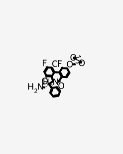 CS(=O)(=O)COC1C=CC(C(N)=O)=C(c2c(Cl)c(F)cc3c2C[C@@](CN)(c2ccccc2)O3)C1F